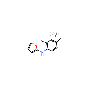 Cc1ccc(Nc2ccco2)c(C)c1C(=O)O